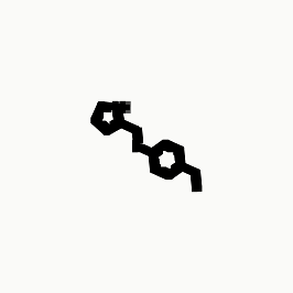 C=Cc1ccc(N=Cc2ccc[nH]2)cc1